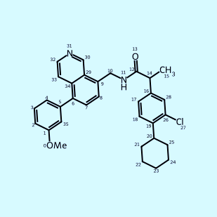 COc1cccc(-c2ccc(CNC(=O)C(C)c3ccc(C4CCCCC4)c(Cl)c3)c3cnccc23)c1